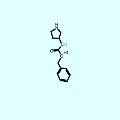 Cl.O=C(NC1CCNC1)OCc1ccccc1